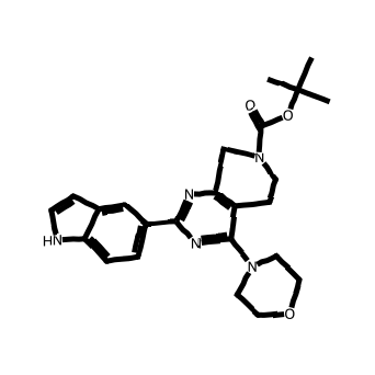 CC(C)(C)OC(=O)N1CCc2c(nc(-c3ccc4[nH]ccc4c3)nc2N2CCOCC2)C1